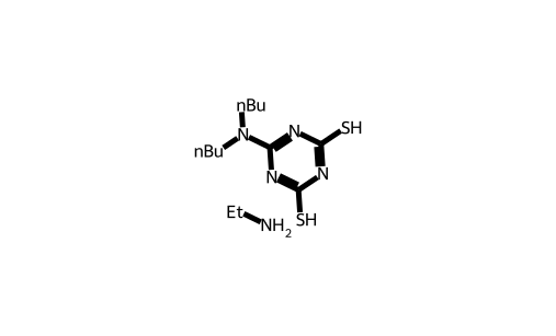 CCCCN(CCCC)c1nc(S)nc(S)n1.CCN